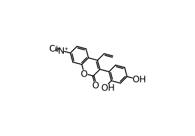 [C-]#[N+]c1ccc2c(C=C)c(-c3ccc(O)cc3O)c(=O)oc2c1